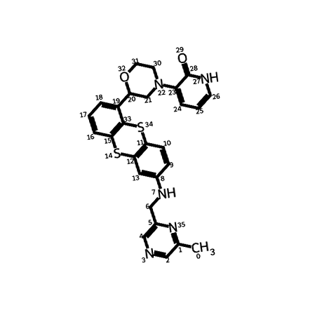 Cc1cncc(CNc2ccc3c(c2)Sc2cccc(C4CN(c5ccc[nH]c5=O)CCO4)c2S3)n1